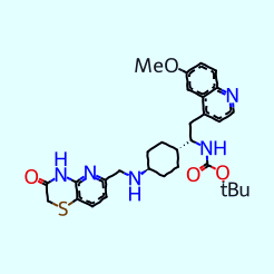 COc1ccc2nccc(CC(NC(=O)OC(C)(C)C)[C@H]3CC[C@H](NCc4ccc5c(n4)NC(=O)CS5)CC3)c2c1